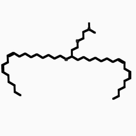 CCCCC/C=C\C/C=C\CCCCCCCCOC(CCCCCCC/C=C\C/C=C\CCCCC)CCOCCN(C)C